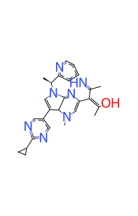 CC(=N)/C(C1=CN(C)C2C(c3cnc(C4CC4)nc3)=CN([C@@H](C)c3ccccn3)C2=N1)=C(/C)O